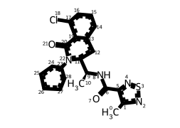 Cc1nsnc1C(=O)N[C@@H](C)c1cc2cccc(Cl)c2c(=O)n1-c1ccccc1